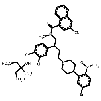 CN(CC(CCN1CCC(c2cc(Br)ccc2[S+](C)[O-])CC1)c1ccc(Cl)c(Cl)c1)C(=O)c1cc(C#N)cc2ccccc12.O=C(O)CC(O)(CC(=O)O)C(=O)O